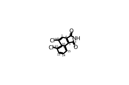 O=C1NC(=O)c2c1cc(Cl)c1c(Cl)cccc21